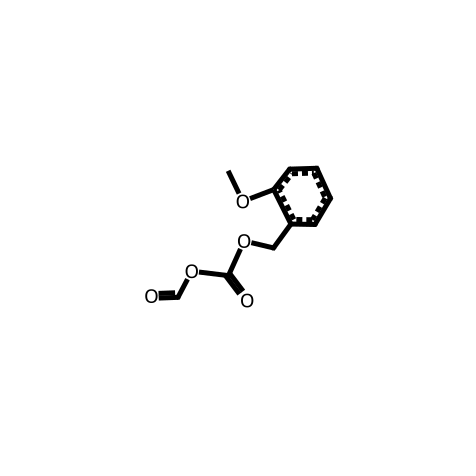 COc1ccccc1COC(=O)OC=O